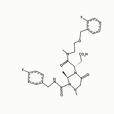 C[C@H]1N([C@@H](CC(=O)O)C(=O)N(C)CCOCc2ccccc2F)C(=O)CN(C)N1C(=O)NCc1ccc(F)cc1